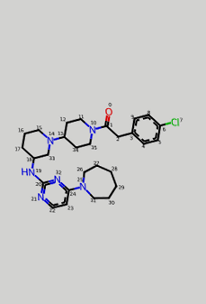 O=C(Cc1ccc(Cl)cc1)N1CCC(N2CCCC(Nc3nccc(N4CCCCCC4)n3)C2)CC1